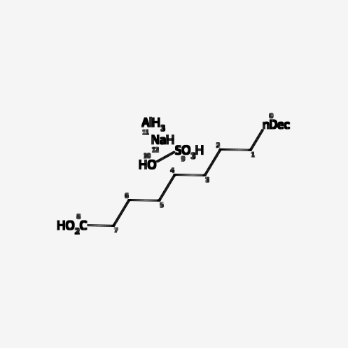 CCCCCCCCCCCCCCCCCC(=O)O.O=S(=O)(O)O.[AlH3].[NaH]